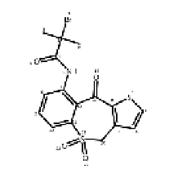 CC(C)(Br)C(=O)Nc1cccc2c1C(=O)c1sccc1CS2(=O)=O